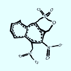 O=[N+]([O-])c1c2c(c3ccccc3c1[N+](=O)[O-])S(=O)(=O)O2